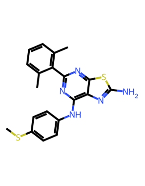 CSc1ccc(Nc2nc(-c3c(C)cccc3C)nc3sc(N)nc23)cc1